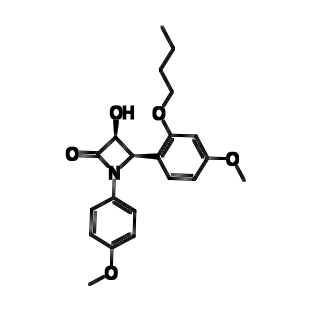 CCCCOc1cc(OC)ccc1[C@@H]1[C@H](O)C(=O)N1c1ccc(OC)cc1